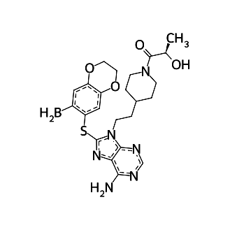 Bc1cc2c(cc1Sc1nc3c(N)ncnc3n1CCC1CCN(C(=O)[C@@H](C)O)CC1)OCCO2